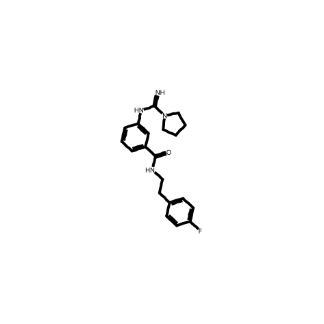 N=C(Nc1cccc(C(=O)NCCc2ccc(F)cc2)c1)N1CCCC1